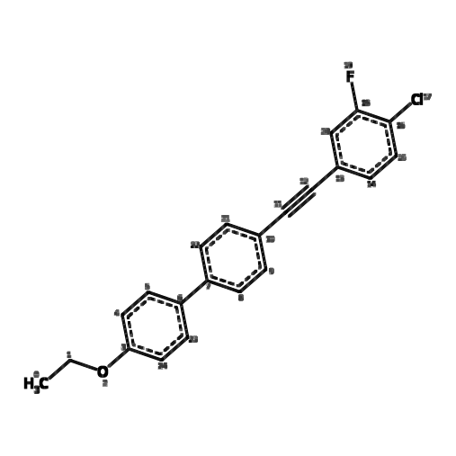 CCOc1ccc(-c2ccc(C#Cc3ccc(Cl)c(F)c3)cc2)cc1